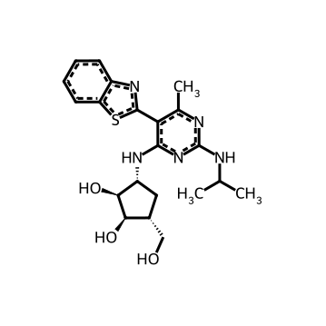 Cc1nc(NC(C)C)nc(N[C@@H]2C[C@H](CO)[C@@H](O)[C@H]2O)c1-c1nc2ccccc2s1